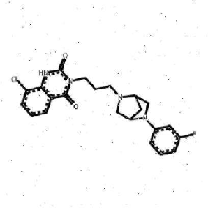 O=c1[nH]c2c(Cl)cccc2c(=O)n1CCCN1CC2CC1CN2c1cccc(F)c1